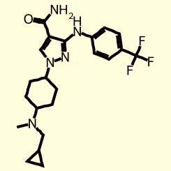 CN(CC1CC1)C1CCC(n2cc(C(N)=O)c(Nc3ccc(C(F)(F)F)cc3)n2)CC1